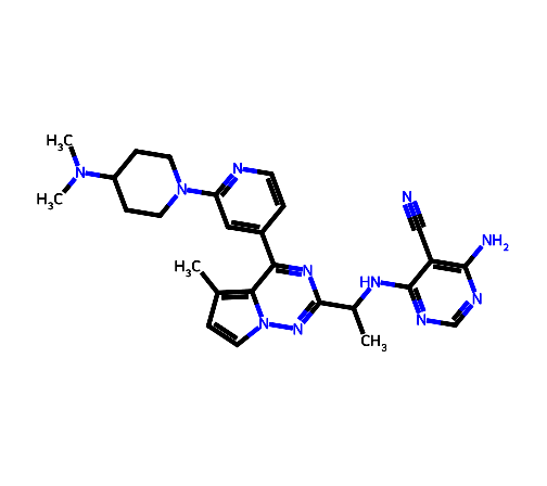 Cc1ccn2nc(C(C)Nc3ncnc(N)c3C#N)nc(-c3ccnc(N4CCC(N(C)C)CC4)c3)c12